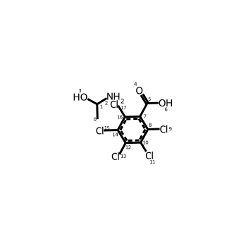 CC(N)O.O=C(O)c1c(Cl)c(Cl)c(Cl)c(Cl)c1Cl